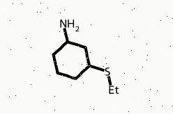 CCSC1CCCC(N)C1